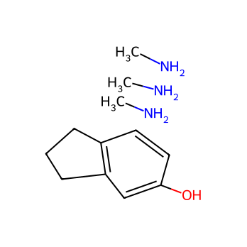 CN.CN.CN.Oc1ccc2c(c1)CCC2